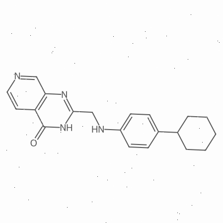 O=c1[nH]c(CNc2ccc(C3CCCCC3)cc2)nc2cnccc12